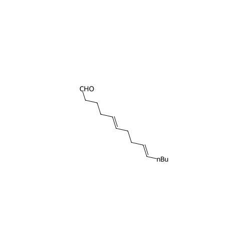 CCCCC=CCCC=CCCCC=O